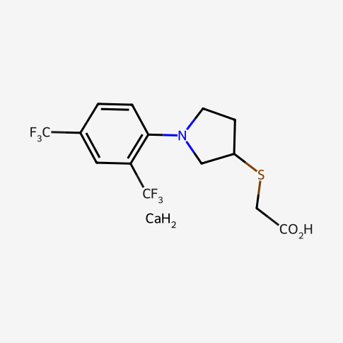 O=C(O)CSC1CCN(c2ccc(C(F)(F)F)cc2C(F)(F)F)C1.[CaH2]